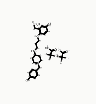 O=C(O)C(F)(F)F.O=C(O)C(F)(F)F.O=C(O)Cc1cc(Cl)ccc1OCCCNC1CCN(Cc2ccc(Cl)cc2)CC1